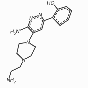 NCCN1CCN(c2cc(-c3ccccc3O)nnc2N)CC1